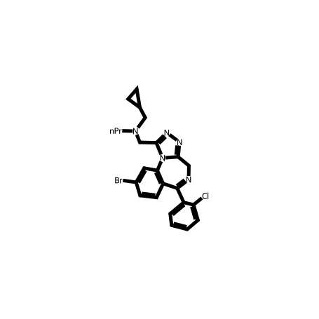 CCCN(Cc1nnc2n1-c1cc(Br)ccc1C(c1ccccc1Cl)=NC2)CC1CC1